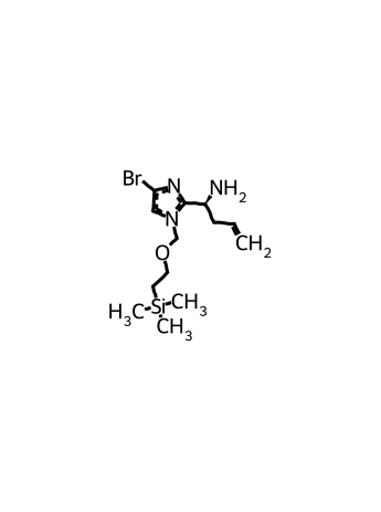 C=CC[C@H](N)c1nc(Br)cn1COCC[Si](C)(C)C